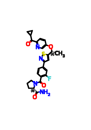 C[C@@H](Oc1ccc(C(=O)C2CC2)nc1)c1cc(-c2ccc(C(=O)N3CCC[C@H]3C(N)=O)c(F)c2)ns1